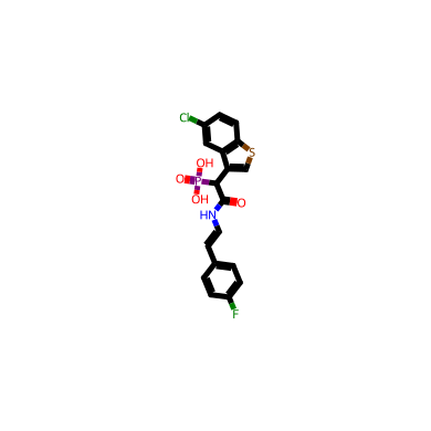 O=C(NC=Cc1ccc(F)cc1)C(c1csc2ccc(Cl)cc12)P(=O)(O)O